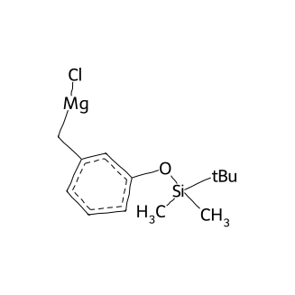 CC(C)(C)[Si](C)(C)Oc1cccc([CH2][Mg][Cl])c1